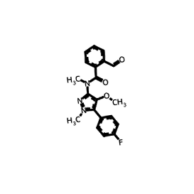 COc1c(N(C)C(=O)c2ccccc2C=O)nn(C)c1-c1ccc(F)cc1